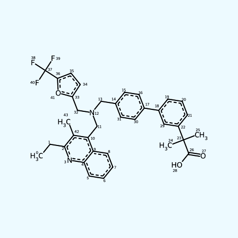 CCc1nc2ccccc2c(CN(Cc2ccc(-c3cccc(C(C)(C)C(=O)O)c3)cc2)Cc2ccc(C(F)(F)F)o2)c1C